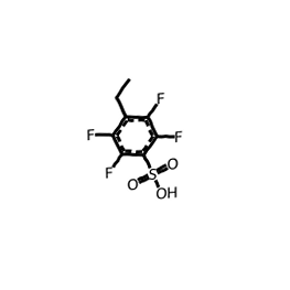 CCc1c(F)c(F)c(S(=O)(=O)O)c(F)c1F